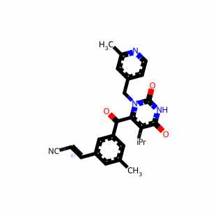 Cc1cc(/C=C/C#N)cc(C(=O)c2c(C(C)C)c(=O)[nH]c(=O)n2Cc2ccnc(C)c2)c1